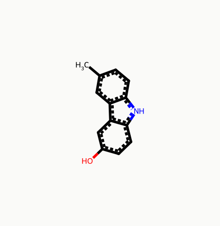 Cc1ccc2[nH]c3ccc(O)cc3c2c1